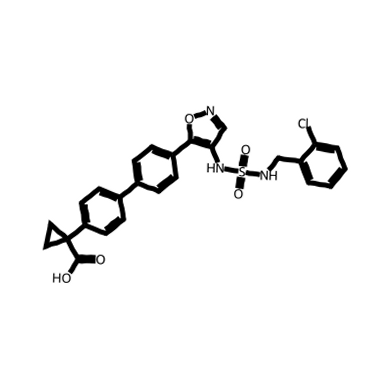 O=C(O)C1(c2ccc(-c3ccc(-c4oncc4NS(=O)(=O)NCc4ccccc4Cl)cc3)cc2)CC1